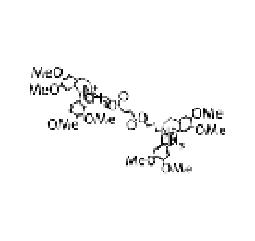 COc1ccc(CC2c3cc(OC)c(OC)cc3CC[N+]2(C)CCCOC(=O)/C=C/C(=O)OCCC[N+]2(C)CCc3cc(OC)c(OC)cc3C2c2ccc(OC)c(OC)c2)cc1OC